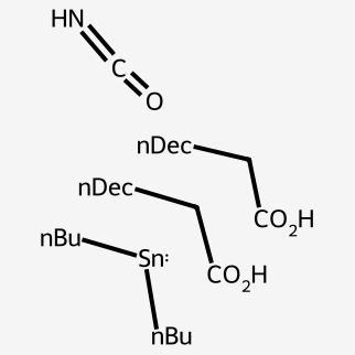 CCCCCCCCCCCC(=O)O.CCCCCCCCCCCC(=O)O.CCC[CH2][Sn][CH2]CCC.N=C=O